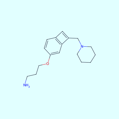 NCCCOc1ccc2c(c1)C(CN1CCCCC1)=C2